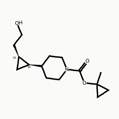 CC1(OC(=O)N2CCC([C@H]3C[C@H]3CCO)CC2)CC1